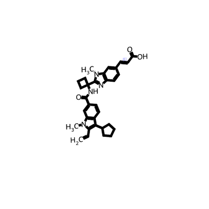 C=Cc1c(C2CCCC2)c2ccc(C(=O)NC3(c4nc5ccc(/C=C/C(=O)O)cc5n4C)CCC3)cc2n1C